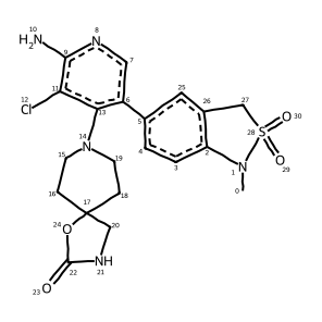 CN1c2ccc(-c3cnc(N)c(Cl)c3N3CCC4(CC3)CNC(=O)O4)cc2CS1(=O)=O